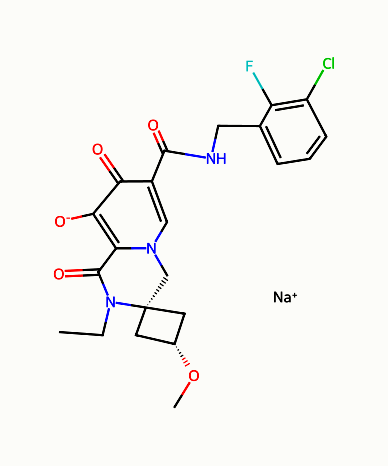 CCN1C(=O)c2c([O-])c(=O)c(C(=O)NCc3cccc(Cl)c3F)cn2C[C@]12C[C@@H](OC)C2.[Na+]